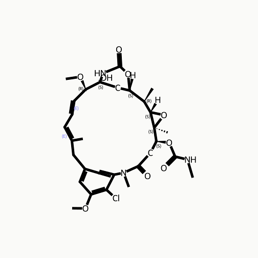 CNC(=O)O[C@H]1CC(=O)N(C)c2cc(cc(OC)c2Cl)C/C(C)=C/C=C/[C@@H](OC)[C@@]2(O)C[C@H](OC(=O)N2)[C@@H](C)[C@@H]2O[C@@]12C